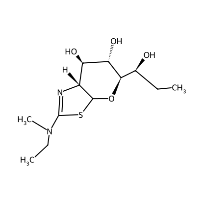 CC[C@H](O)[C@H]1OC2SC(N(C)CC)=N[C@@H]2[C@@H](O)[C@@H]1O